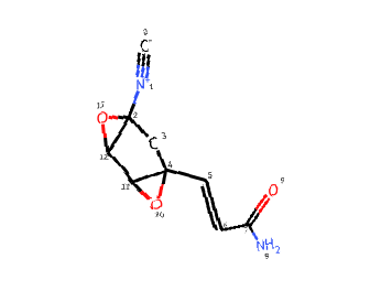 [C-]#[N+]C12CC3(C=CC(N)=O)OC3C1O2